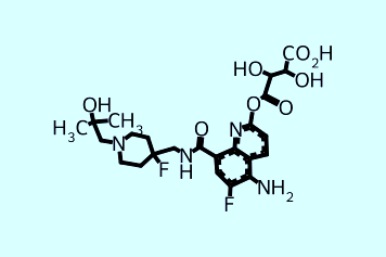 CC(C)(O)CN1CCC(F)(CNC(=O)c2cc(F)c(N)c3ccc(OC(=O)C(O)C(O)C(=O)O)nc23)CC1